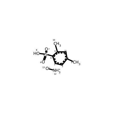 Cc1ccc(S(=O)(=O)O)c(C)c1.[NH3+][O-]